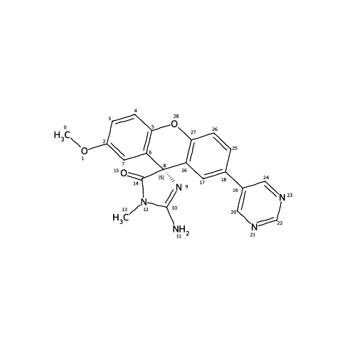 COc1ccc2c(c1)[C@@]1(N=C(N)N(C)C1=O)c1cc(-c3cncnc3)ccc1O2